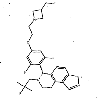 CC(C)(F)CN1CCc2c(ccc3[nH]ncc23)C1c1c(F)cc(OCCN2CC(CF)C2)cc1F